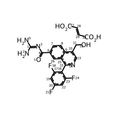 NC(N)=NC(=O)c1ccc2c(CO)cnc(-c3c(F)cc(F)cc3F)c2c1.O=C(O)/C=C/C(=O)O